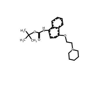 CC(C)(C)OC(=O)Nc1ccc(OCCN2CCCCC2)c2ccccc12